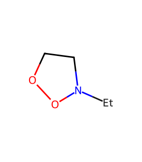 CCN1CCOO1